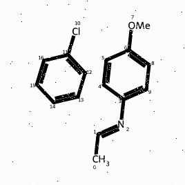 CC=Nc1ccc(OC)cc1.Clc1ccccc1